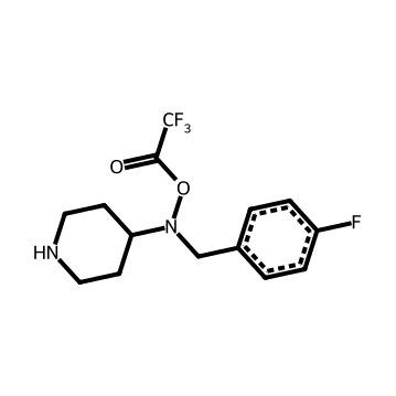 O=C(ON(Cc1ccc(F)cc1)C1CCNCC1)C(F)(F)F